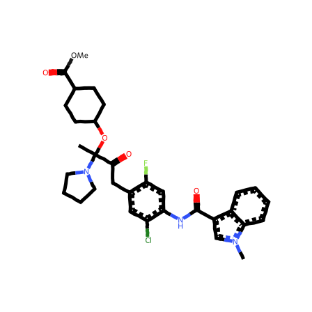 COC(=O)C1CCC(OC(C)(C(=O)Cc2cc(Cl)c(NC(=O)c3cn(C)c4ccccc34)cc2F)N2CCCC2)CC1